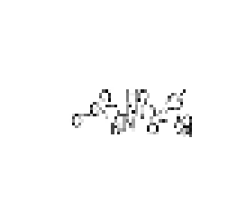 COCCOc1cc2ncnc(NC3=CC(=O)C(Oc4ccc(C)cc4-c4ccno4)=CC3=O)c2cc1OC